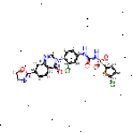 O=C(Nc1ccc(-n2cnc3cc(C4=NCCO4)ccc3c2=O)c(Cl)c1)NS(=O)(=O)c1ccc(Cl)s1